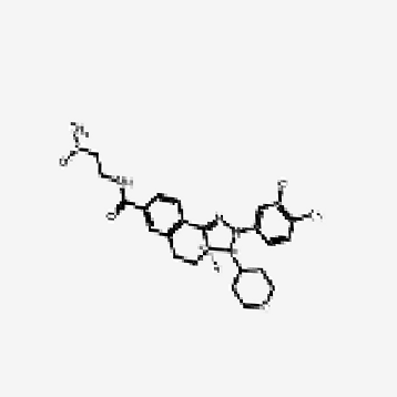 C[S+]([O-])CCNC(=O)c1ccc2c(c1)CC[C@H]1C2=NN(c2ccc(C#N)c(Cl)c2)[C@H]1C1CCOCC1